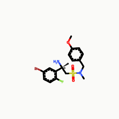 COc1ccc(CN(C)S(=O)(=O)C[C@](C)(N)c2cc(Br)ccc2F)cc1